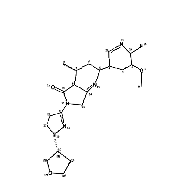 COC1CC(C2CC(C)C3C(=O)N(C4=NN([C@@H]5CCOC5)CC4)CC3=N2)C=NC1F